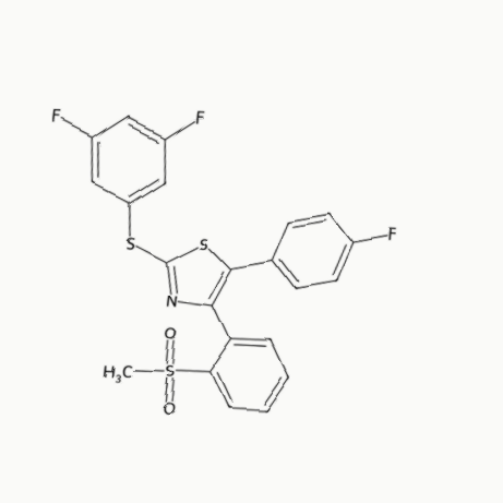 CS(=O)(=O)c1ccccc1-c1nc(Sc2cc(F)cc(F)c2)sc1-c1ccc(F)cc1